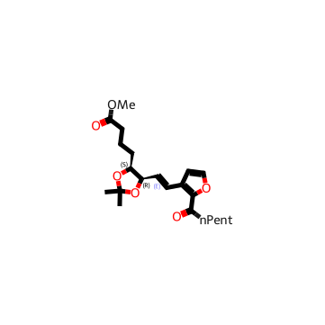 CCCCCC(=O)c1occc1/C=C/[C@H]1OC(C)(C)O[C@H]1CCCC(=O)OC